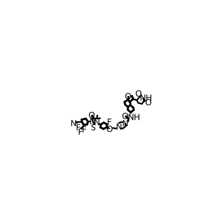 CC1(C)C(=O)N(c2ccc(C#N)c(C(F)(F)F)c2)C(=S)N1c1ccc(OCCN2CCN(CC(=O)Nc3ccc4c(ccc5occ(C6CCC(=O)NC6=O)c54)c3)CC2)c(F)c1